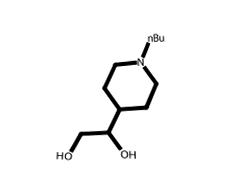 CCCCN1CCC(C(O)CO)CC1